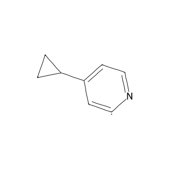 [c]1cc(C2CC2)ccn1